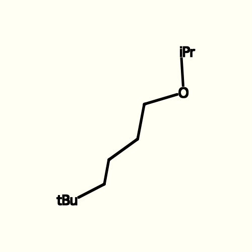 CC(C)OCCCCC(C)(C)C